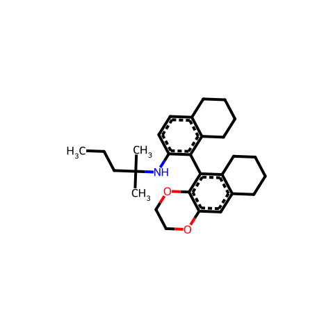 CCCC(C)(C)Nc1ccc2c(c1-c1c3c(cc4c1OCCO4)CCCC3)CCCC2